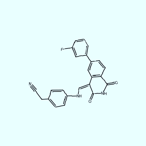 N#CCc1ccc(NC=C2C(=O)NC(=O)c3ccc(-c4cccc(F)c4)cc32)cc1